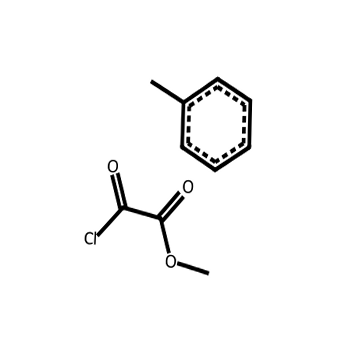 COC(=O)C(=O)Cl.Cc1ccccc1